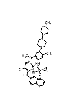 COc1cc(N2CCC(N3CCN(C)CC3)CC2)c(C)cc1Nc1ncc(Cl)c(Nc2ccc3nccnc3c2NS(=O)(=O)C2CC2)n1